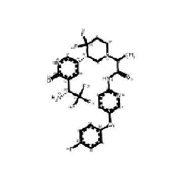 CC(C(=O)Nc1ccc(Oc2ccc(F)cc2)cn1)N1CCC(F)(F)[C@@H](c2c[nH]c(=O)c([C@@H](N)C(F)(F)F)c2)C1